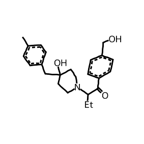 CCC(C(=O)c1ccc(CO)cc1)N1CCC(O)(Cc2ccc(C)cc2)CC1